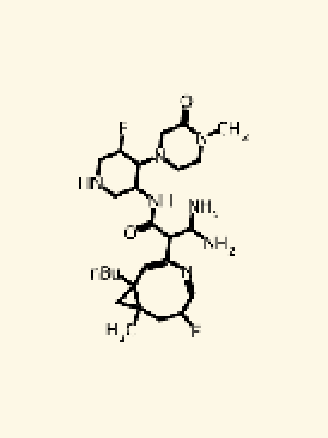 CCCCC12/C=C(C(C(=O)NC3CNCC(F)C3N3CCN(C)C(=O)C3)C(N)N)\N=C/C(F)CC1(C)C2